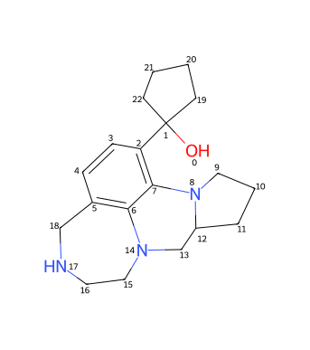 OC1(c2ccc3c4c2N2CCCC2CN4CCNC3)CCCC1